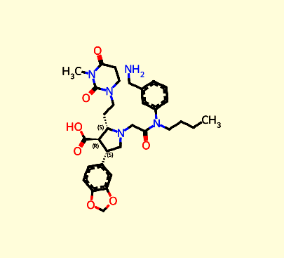 CCCCN(C(=O)CN1C[C@H](c2ccc3c(c2)OCO3)[C@@H](C(=O)O)[C@@H]1CCN1CCC(=O)N(C)C1=O)c1cccc(CN)c1